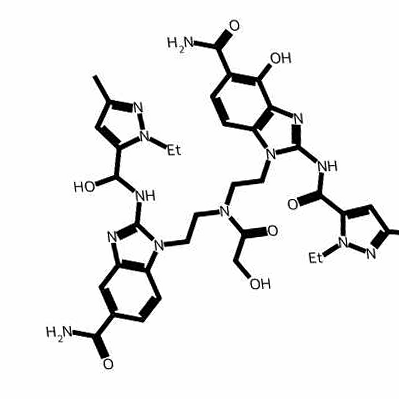 CCn1nc(C)cc1C(=O)Nc1nc2c(O)c(C(N)=O)ccc2n1CCN(CCn1c(NC(O)c2cc(C)nn2CC)nc2cc(C(N)=O)ccc21)C(=O)CO